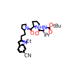 CCn1c(CCC2CCCN2C(=O)C2CCCN2C(=O)[C@@H](NC(=O)OC(C)(C)C)C(C)C)cc2ccc(C#N)cc21